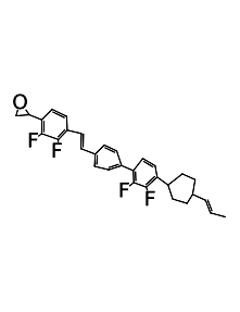 C/C=C/C1CCC(c2ccc(-c3ccc(/C=C/c4ccc(C5CO5)c(F)c4F)cc3)c(F)c2F)CC1